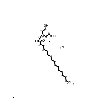 CCCCCCCCCCCCCCCCS(=O)(=O)ON(CCO)CCO.[NaH]